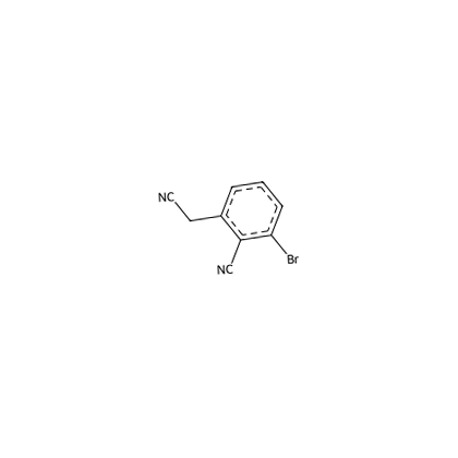 N#CCc1cccc(Br)c1C#N